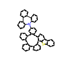 c1ccc2c(c1)-c1ccccc1N(c1ccc3c(c1)c1ccccc1c1ccccc1c1ccccc1c1c3ccc3c4ccccc4sc31)c1ccccc1-2